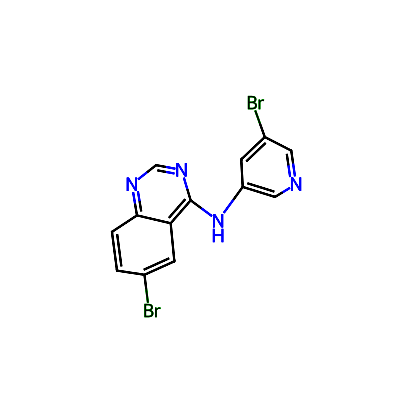 Brc1cncc(Nc2ncnc3ccc(Br)cc23)c1